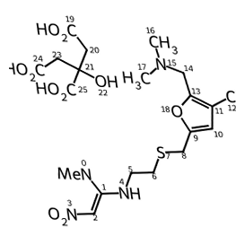 CN/C(=C\[N+](=O)[O-])NCCSCc1cc(C)c(CN(C)C)o1.O=C(O)CC(O)(CC(=O)O)C(=O)O